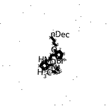 CCCCCCCCCCCCCCOc1ccccc1CC(=O)Nc1ccccc1C[n+]1cscc1C.[Br-]